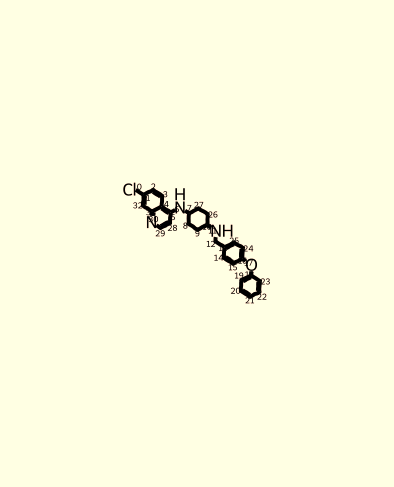 Clc1ccc2c(NC3CCC(NCc4ccc(Oc5ccccc5)cc4)CC3)ccnc2c1